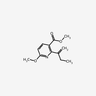 C=C(CC)c1nc(OC)ccc1C(=O)OC